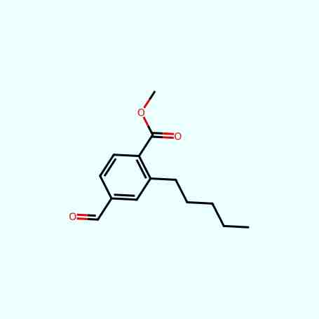 CCCCCc1cc(C=O)ccc1C(=O)OC